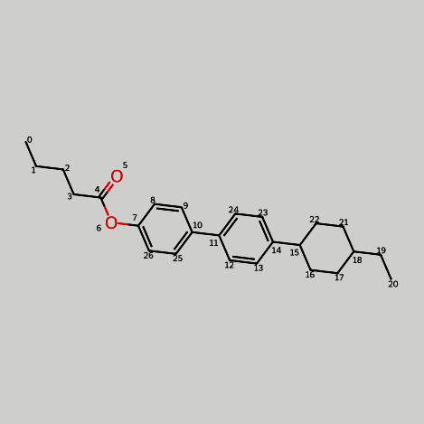 CCCCC(=O)Oc1ccc(-c2ccc(C3CCC(CC)CC3)cc2)cc1